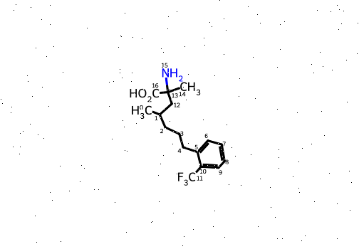 CC(CCCc1ccccc1C(F)(F)F)CC(C)(N)C(=O)O